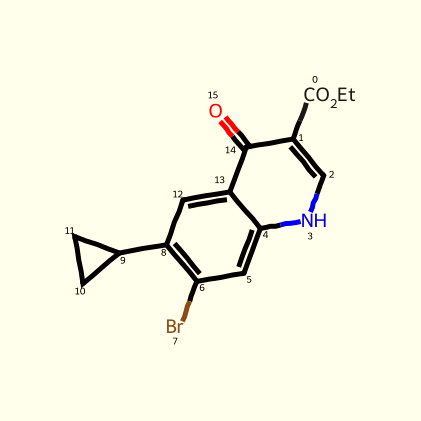 CCOC(=O)c1c[nH]c2cc(Br)c(C3CC3)cc2c1=O